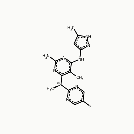 Cc1cc(Nc2nc(N)nc([C@H](C)c3ncc(F)cn3)c2C)n[nH]1